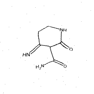 N=C1CCNC(=O)C1C(N)=O